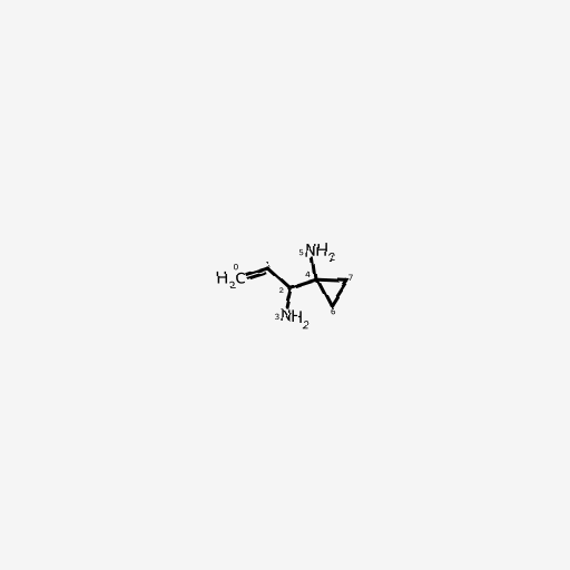 C=CC(N)C1(N)CC1